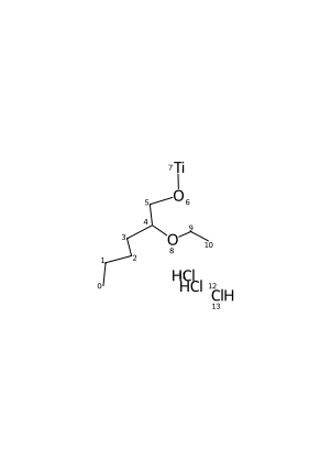 CCCCC(C[O][Ti])OCC.Cl.Cl.Cl